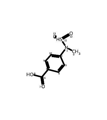 CN(c1ccc(C(=O)O)cc1)[SH](=O)=O